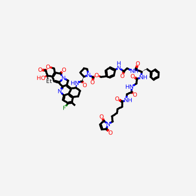 CC[C@@]1(O)C(=O)OCc2c1cc1n(c2=O)Cc2c-1nc1cc(F)c(C)c3c1c2[C@@H](NC(=O)[C@@H]1CCCN1C(=O)OCc1ccc(NC(=O)CNC(=O)[C@H](Cc2ccccc2)NC(=O)CNC(=O)CNC(=O)CCCCCN2C(=O)C=CC2=O)cc1)CC3